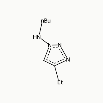 CCCCNn1cc(CC)nn1